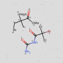 CCC(Br)(CC)C(=O)NC(N)=O.CCCCCCCC(C)(CC(C)C)C(=O)OC